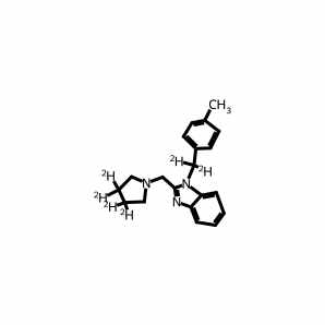 [2H]C([2H])(c1ccc(C)cc1)n1c(CN2CC([2H])([2H])C([2H])([2H])C2)nc2ccccc21